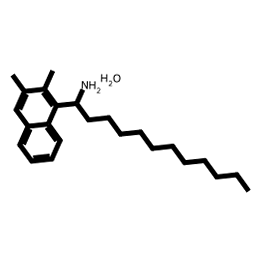 CCCCCCCCCCCC(N)c1c(C)c(C)cc2ccccc12.O